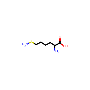 NSCCCCC(N)C(=O)O